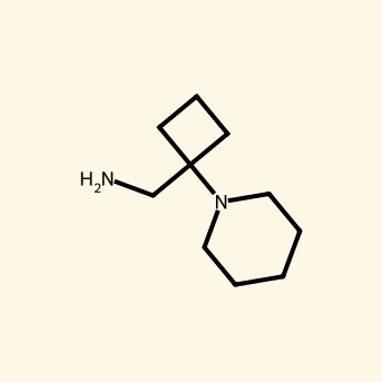 NCC1(N2CCCCC2)CCC1